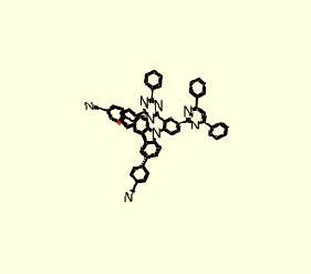 N#Cc1ccc(-c2ccc3c(c2)c2cc(-c4ccc(C#N)cc4)ccc2n3-c2ccc(-c3nc(-c4ccccc4)cc(-c4ccccc4)n3)cc2-c2nc(-c3ccccc3)nc(-c3ccccc3)n2)cc1